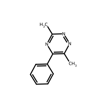 Cc1nnc(C)c(-c2ccccc2)n1